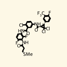 CSCCC(=O)Nc1c(F)ccc(NC(=O)c2cc(NC(=O)[C@H]3[C@H](c4ccc(F)c(C(F)(F)F)c4)C3(Cl)Cl)ccc2Cl)c1F